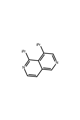 CC(C)c1cncc2ccnc(C(C)C)c12